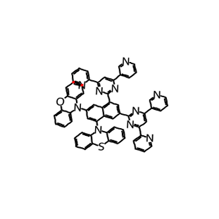 c1ccc(-c2cc(-c3cccnc3)nc(-c3cc(-c4nc(-c5cccnc5)cc(-c5ccccn5)n4)c4cc(N5c6ccccc6Oc6ccccc65)cc(N5c6ccccc6Sc6ccccc65)c4c3)n2)nc1